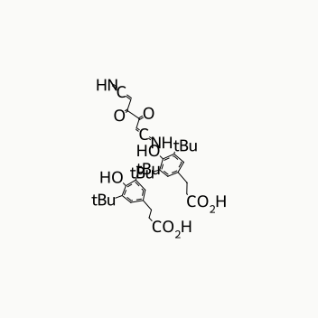 CC(C)(C)c1cc(CCC(=O)O)cc(C(C)(C)C)c1O.CC(C)(C)c1cc(CCC(=O)O)cc(C(C)(C)C)c1O.N=C=CC(=O)C(=O)C=C=N